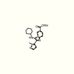 COC(=O)c1ccc2nc(-c3ccnn3C)c(NC3CCCCC3)n2c1